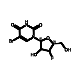 O=c1[nH]c(=O)n([C@H]2O[C@@H](CO)C(F)C2O)cc1Br